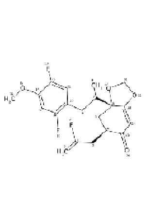 C=C(F)C[C@H]1C[C@]2(C(C)Cc3cc(F)c(OC)cc3F)OCOC2=CC1=O